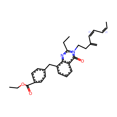 C=C(/C=C\C=C/C)CCn1c(CC)nc2c(Cc3ccc(C(=O)OCC)cc3)cccc2c1=O